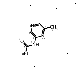 CCC(=O)Nc1cncc(C)n1